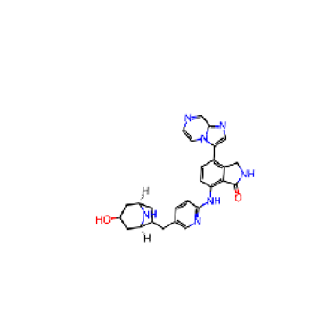 O=C1NCc2c(-c3cnc4cnccn34)ccc(Nc3ccc(CC4C[C@@H]5C[C@H](O)C[C@H]4N5)cn3)c21